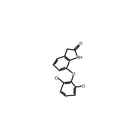 O=C1Cc2cccc(Oc3c(Cl)cccc3Cl)c2N1